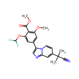 COC(=O)c1c(OC)cc(-c2cnc3cc(C(C)(C)C#N)ccn23)cc1OC(F)F